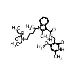 CCN(CCC[C@@H](C)n1c(C)c(C(=O)NCc2c(OC)cc(C)[nH]c2=O)c2ccccc21)S(=O)(=O)CC